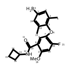 Bc1cc(C)c(Oc2cc(C(=O)NC3CCC3)c(OC)cc2F)c(C)c1